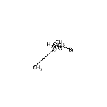 C=C(C)C(OC(=O)CCCCCBr)OC(=O)OCCCCCCCCCCCCCCCC